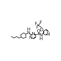 CCCCC1CCC(Nc2nccc(C(=O)Nc3cnccc3OCC(F)(F)F)n2)CC1